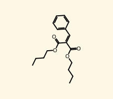 CCCCOC(=O)C(=Cc1ccccc1)C(=O)OCCCC